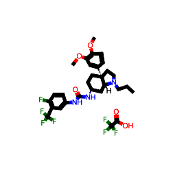 CCCN1CC[C@]2(c3ccc(OC)c(OC)c3)CC[C@@H](NC(=O)Nc3ccc(F)c(C(F)(F)F)c3)C[C@H]12.O=C(O)C(F)(F)F